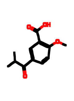 COc1ccc(C(=O)C(C)C)cc1C(=O)O